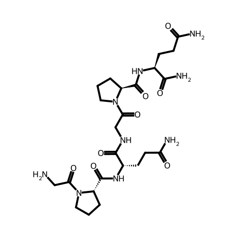 NCC(=O)N1CCC[C@H]1C(=O)N[C@@H](CCC(N)=O)C(=O)NCC(=O)N1CCC[C@H]1C(=O)N[C@@H](CCC(N)=O)C(N)=O